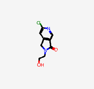 O=C1c2cnc(Cl)cc2CN1CCO